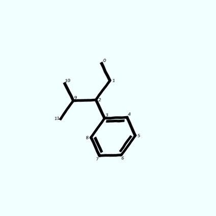 CC[C](c1ccccc1)C(C)C